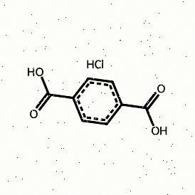 Cl.O=C(O)c1ccc(C(=O)O)cc1